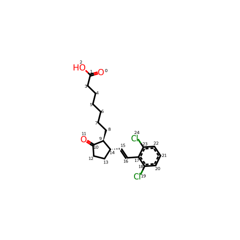 O=C(O)CCCCCC[C@@H]1C(=O)CC[C@H]1C=Cc1c(Cl)cccc1Cl